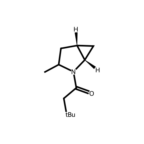 CC1C[C@@H]2C[C@@H]2N1C(=O)CC(C)(C)C